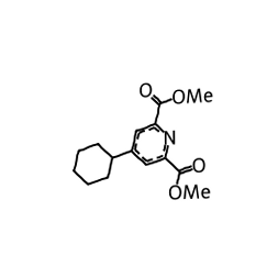 COC(=O)c1cc(C2CCCCC2)cc(C(=O)OC)n1